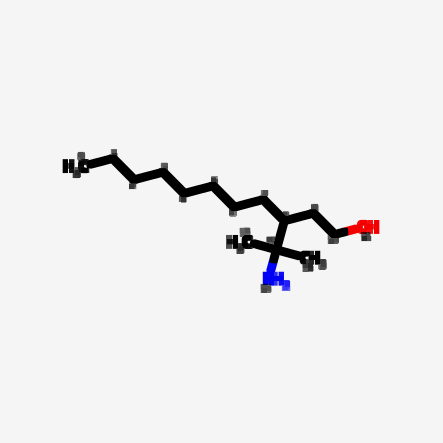 CCCCCCCCC(CCO)C(C)(C)N